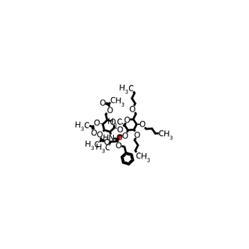 CCCCOCC1O[C@](C)(O[C@H]2OC(COC(C)=O)[C@@H](OC(C)=O)C(OC(C)=O)C2NC(=O)OCc2ccccc2)C(OCCCC)C(OCCCC)[C@@H]1OCCCC